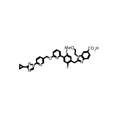 COCCn1c(Cc2cc(F)c(-c3cccc(OCc4ccc(-n5cnc(C6CC6)n5)nc4)n3)cc2F)nc2ccc(C(=O)O)cc21